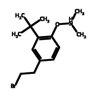 C[SiH](C)Oc1ccc(CCBr)cc1C(C)(C)C